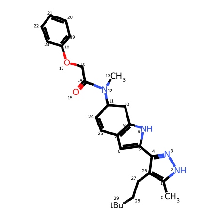 Cc1[nH]nc(-c2cc3c([nH]2)CC(N(C)C(=O)COc2ccccc2)C=C3)c1CCC(C)(C)C